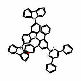 c1ccc(-c2cc(-c3ccccc3)nc(-c3cc(-c4ccccc4)c(-n4c5ccc(-n6c7ccccc7c7ccccc76)cc5c5ccc(-n6c7ccccc7c7ccccc76)cc54)c(-c4ccccc4)c3)n2)cc1